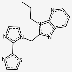 CCCn1c(Cn2ccnc2-c2nccs2)nc2cccnc21